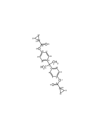 CC(C)(c1ccc(OC(=O)N2CC2)cc1)c1ccc(OC(=O)N2CC2)cc1